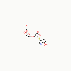 O=C1C[C@H](COCc2ccc(C(=O)OCCO)o2)[C@@H](CSc2ccnc3c2CCCC3O)C1=O